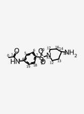 CC(=O)Nc1ccc(S(=O)(=O)N2CCC(N)CC2)cc1